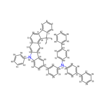 CC1(C)c2ccccc2-c2ccc3cc4c(cc3c21)c1cc(-c2cccc(N(c3ccc(-c5ccccc5)cc3)c3ccc(-c5ccccc5)cc3)c2)ccc1n4-c1ccccc1